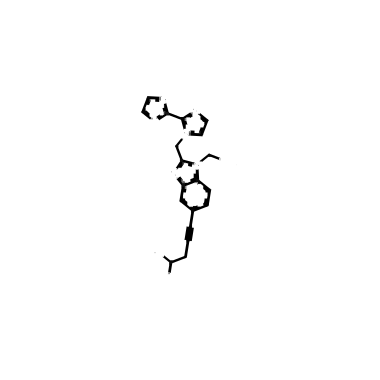 CCn1c(Cn2ccnc2-c2nccs2)nc2cc(C#CCC(C)O)ccc21